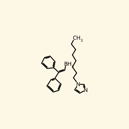 BC=C(c1ccccc1)c1ccccc1.CCCCCCCCn1ccnc1